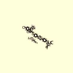 CCC(C)N1CC(OC)SC1=Nc1ccc(N2CCN(c3ccc(OCC4COC(Cn5ccnc5)(c5ccc(Cl)cc5Cl)O4)cc3)CC2)cc1.CCCCO